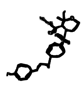 CC1(C)OCCN(S(=O)(=O)c2ccc(OCCc3ccc(F)cc3)cc2)[C@H]1C(=O)NO